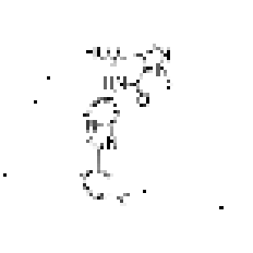 Cn1ncc(C(=O)O)c1C(=O)Nc1ccn2cc(-c3cccc(Cl)c3)nc2c1